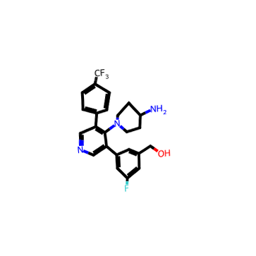 NC1CCN(c2c(-c3ccc(C(F)(F)F)cc3)cncc2-c2cc(F)cc(CO)c2)CC1